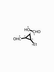 CCC1CC1C=O.O=CO